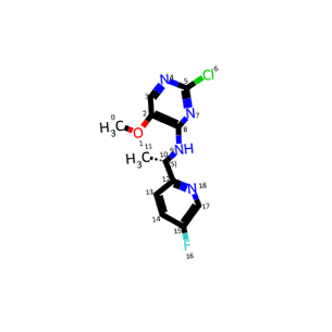 COc1cnc(Cl)nc1N[C@@H](C)c1ccc(F)cn1